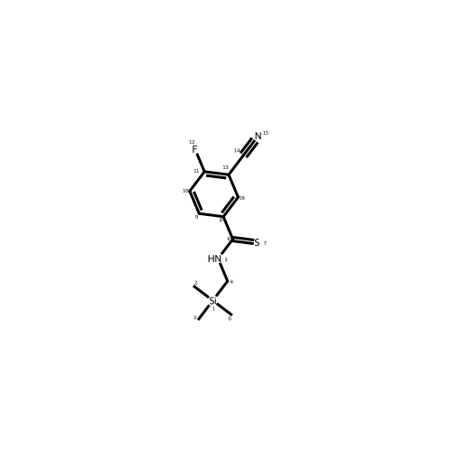 C[Si](C)(C)CNC(=S)c1ccc(F)c(C#N)c1